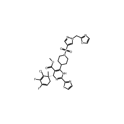 COC(=O)C1=C(C2CCN(S(=O)(=O)c3cnn(Cc4ncco4)c3)CC2)NC(c2nccs2)=N[C@@H]1C1(C)CC=C(F)C(F)=C1Cl